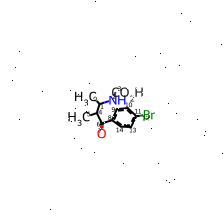 CC(NC(=O)O)C(C)C(=O)c1ccc(Br)cc1